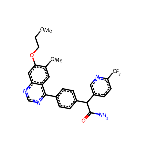 COCCOc1cc2ncnc(-c3ccc(C(C(N)=O)c4ccc(C(F)(F)F)nc4)cc3)c2cc1OC